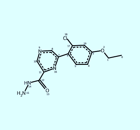 CCOc1ccc(-c2cncc(C(=O)NN)n2)c(Cl)c1